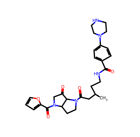 CC(CCNC(=O)c1ccc(N2CCNCC2)cc1)CC(=O)N1CCC2C1C(=O)CN2C(=O)c1ccco1